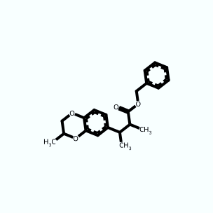 CC1COc2ccc(C(C)C(C)C(=O)OCc3ccccc3)cc2O1